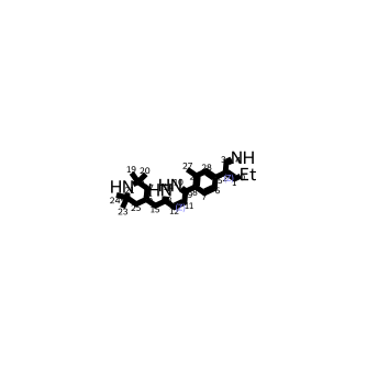 CC/C=C(\C=N)c1ccc(C(=N)/C=C\C(=N)CC2CC(C)(C)NC(C)(C)C2)c(C)c1